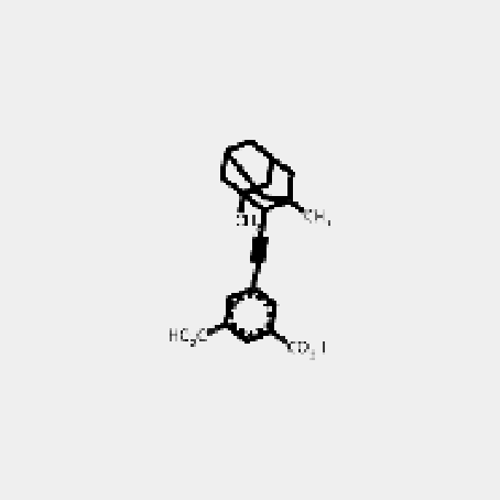 CC12CC3CC(C1)CC(C)(C3)C2C#Cc1cc(C(=O)O)cc(C(=O)O)c1